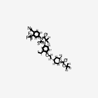 CCc1cc(N2C(=S)N(c3ccc(C#N)c(C(F)(F)F)c3)C(=O)C2(C)C)ccc1OCC[C@H]1CCN(C(=O)OC(C)(C)C)[C@H](C)C1